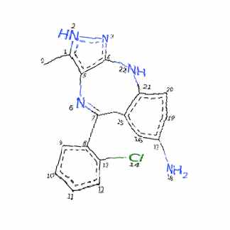 Cc1[nH]nc2c1N=C(c1ccccc1Cl)c1cc(N)ccc1N2